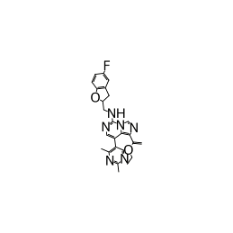 C=C(OCC)c1ncn2c(NCC3Cc4cc(F)ccc4O3)ncc(-c3cnc(C)nc3C)c12